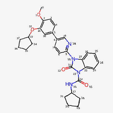 COc1ccc(-c2ccc(-n3c(=O)n(C(=O)NC4CCCC4)c4ccccc43)nc2)cc1OC1CCCC1